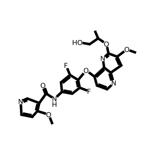 COc1ccncc1C(=O)Nc1cc(F)c(Oc2ccnc3cc(OC)c(OC(C)CO)nc23)c(F)c1